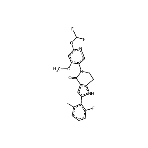 COc1cc(OC(F)F)ncc1N1CCc2[nH]c(-c3c(F)cccc3F)cc2C1=O